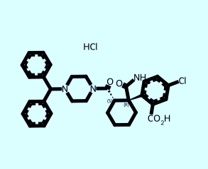 Cl.NC(=O)[C@]1(c2ccc(Cl)cc2C(=O)O)CCCC[C@@H]1C(=O)N1CCN(C(c2ccccc2)c2ccccc2)CC1